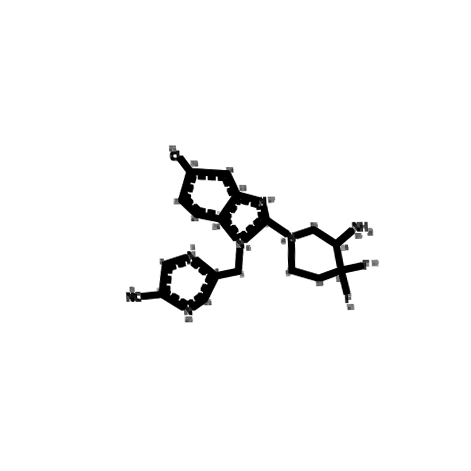 N#Cc1cnc(Cn2c(N3CCC(F)(F)C(N)C3)nc3cc(Cl)ccc32)cn1